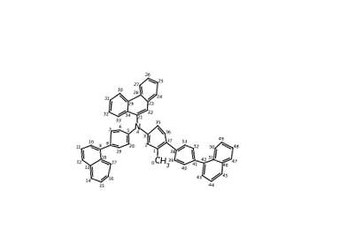 Cc1cc(N(c2ccc(-c3cccc4ccccc34)cc2)c2cc3ccccc3c3ccccc23)ccc1-c1ccc(-c2cccc3ccccc23)cc1